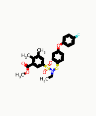 CCN(Sc1ccc(Oc2ccc(F)cc2)cc1)S(=O)(=O)c1cc(C)c(C)c(C(=O)OC)c1